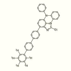 [2H]c1c([2H])c([2H])c(-c2ccc(-c3ccc(-c4ccc5c6c4nc(CC)n6-c4ccccc4N5c4ccccc4)cc3)cc2)c([2H])c1[2H]